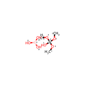 CO[Si](O)(OC)OC.OB(O)O